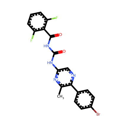 Cc1nc(NC(=O)NC(=O)c2c(F)cccc2F)cnc1-c1ccc(Br)cc1